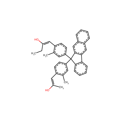 CC/C(O)=C\c1ccc(C2(c3ccc(/C=C(\C)O)c(C)c3)c3ccccc3-c3cc4ccccc4cc32)cc1C